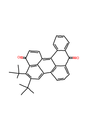 CC(C)(C)c1cc2c3cccc4c(=O)c5ccccc5c(c5ccc(=O)c(c1C(C)(C)C)c25)c43